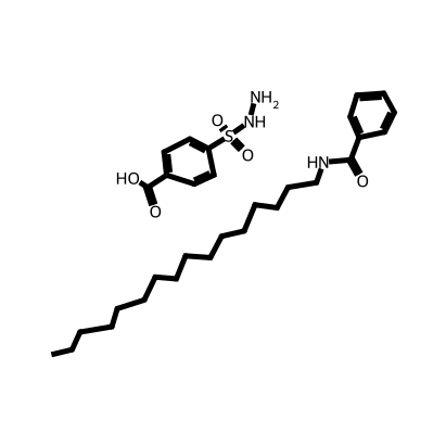 CCCCCCCCCCCCCCCCNC(=O)c1ccccc1.NNS(=O)(=O)c1ccc(C(=O)O)cc1